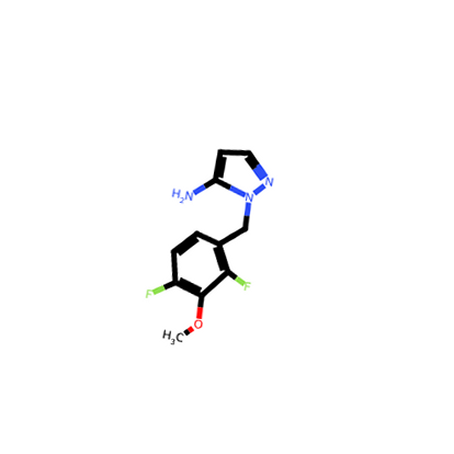 COc1c(F)ccc(Cn2nccc2N)c1F